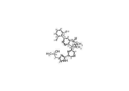 C[C@@H](O)Cc1n[nH]c(-c2cncc([C@@]34CC[C@@H](c5cc(-c6c(F)cccc6F)nnc53)C4(C)C)n2)n1